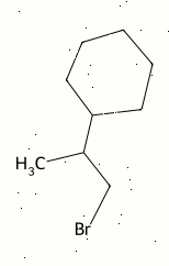 CC(CBr)C1CCCCC1